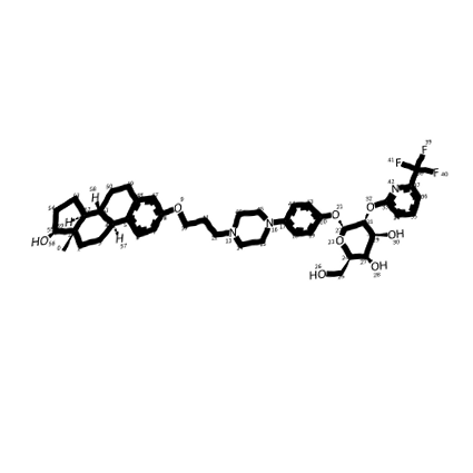 C[C@]12CC[C@@H]3c4ccc(OCCCN5CCN(c6ccc(O[C@H]7O[C@H](CO)[C@H](O)[C@H](O)[C@H]7Oc7cccc(C(F)(F)F)n7)cc6)CC5)cc4CC[C@H]3[C@@H]1CC[C@@H]2O